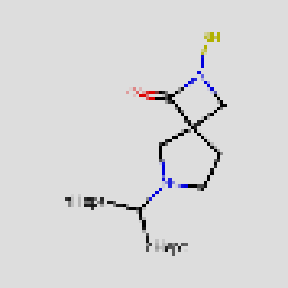 CCCCCCCC(CCCCCCC)N1CCC2(CN(S)C2=O)C1